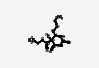 CC=NOC1NC(=O)NC(=O)C1(F)C(=O)OCC